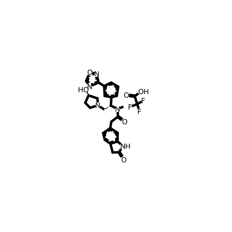 CN(C(=O)Cc1ccc2c(c1)NC(=O)C2)[C@H](CN1CC[C@H](O)C1)c1cccc(-c2ncon2)c1.O=C(O)C(F)(F)F